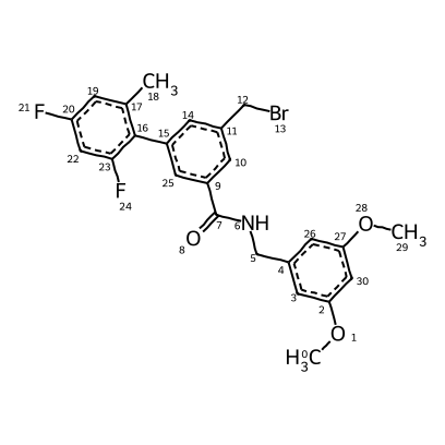 COc1cc(CNC(=O)c2cc(CBr)cc(-c3c(C)cc(F)cc3F)c2)cc(OC)c1